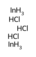 Cl.Cl.Cl.[InH3].[InH3]